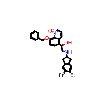 CCc1cc2c(cc1CC)CC(NCC(O)c1ccc(OCc3ccccc3)c3c1ccc[n+]3[O-])C2